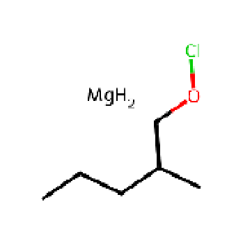 CCCC(C)COCl.[MgH2]